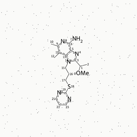 COC(C)c1nc2c(N)nc(C)c(C)c2n1CCCSc1ncccn1